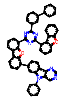 c1ccc(-c2cccc(-c3nc(-c4cccc5c4oc4c(-c6ccc7c8ncncc8n(-c8ccccc8)c7c6)cccc45)nc(-c4cccc5oc6ccccc6c45)n3)c2)cc1